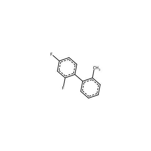 Cc1ccccc1-c1ccc(F)cc1F